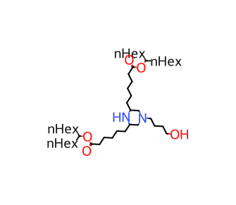 CCCCCCC(CCCCCC)OC(=O)CCCCCC1CN(CCCCO)CC(CCCCCC(=O)OC(CCCCCC)CCCCCC)N1